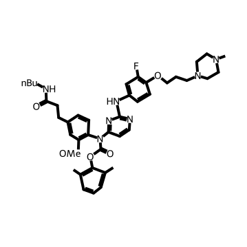 CCCCNC(=O)CCc1ccc(N(C(=O)Oc2c(C)cccc2C)c2ccnc(Nc3ccc(OCCCN4CCN(C)CC4)c(F)c3)n2)c(OC)c1